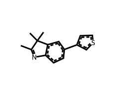 CC1=Nc2ccc(-c3ccsc3)cc2C1(C)C